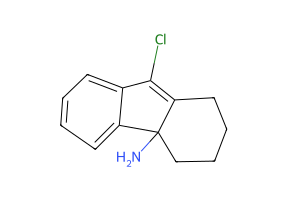 NC12CCCCC1=C(Cl)c1ccccc12